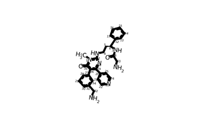 Cn1c(NCC[C@H](NC(=O)CN)c2ccccc2)nc(-c2ccncc2)c(-c2cccc(CN)c2)c1=O